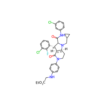 CCOC(=O)CNc1ccc(N2CC[C@H]3[C@@H](C2=O)[C@H](c2cccc(Cl)c2F)C(C(=O)Nc2cccc(Cl)c2)N3CC2CC2)cc1